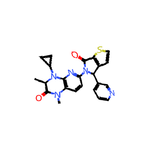 CC1C(=O)N(C)c2ccc(N3C(=O)c4sccc4C3c3cccnc3)nc2N1C1CC1